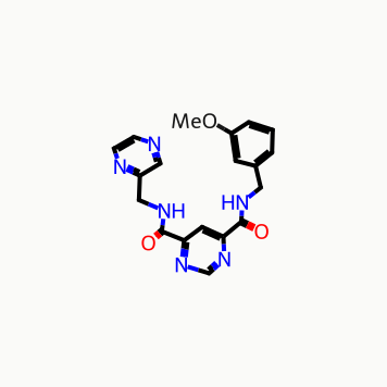 COc1cccc(CNC(=O)c2cc(C(=O)NCc3cnccn3)ncn2)c1